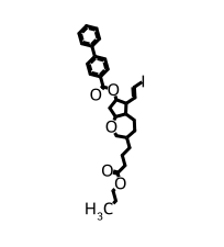 CCCOC(=O)CCCC1CCC2C(CC(OC(=O)c3ccc(-c4ccccc4)cc3)C2C=CI)OC1